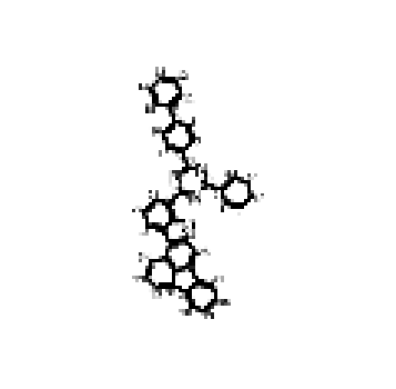 C1=CC(c2nc(-c3ccc(-c4ccccc4)cc3)nc(-c3cccc4c3oc3cc5c6c(cccc6c34)-c3ccccc3-5)n2)=CCC1